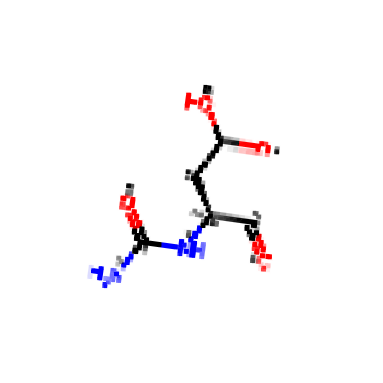 NC(=O)N[C@H]([C]=O)CC(=O)O